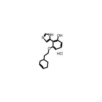 Cl.Oc1cccc(OCCC2CC=CCC2)c1-c1cnc[nH]1